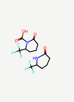 O=C(O)N1C(=O)CCCC1C(F)(F)F.O=C1CCCC(C(F)(F)F)N1